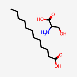 CCCCCCCCCCCC(=O)O.NC(CO)C(=O)O